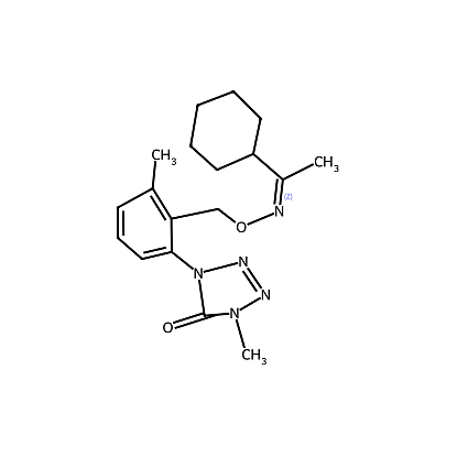 C/C(=N/OCc1c(C)cccc1-n1nnn(C)c1=O)C1CCCCC1